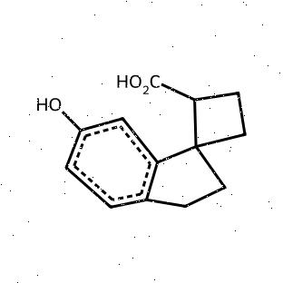 O=C(O)C1CCC12CCc1ccc(O)cc12